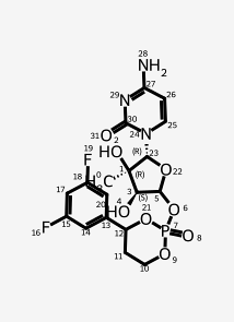 C[C@@]1(O)[C@H](O)C(OP2(=O)OCCC(c3cc(F)cc(F)c3)O2)O[C@H]1n1ccc(N)nc1=O